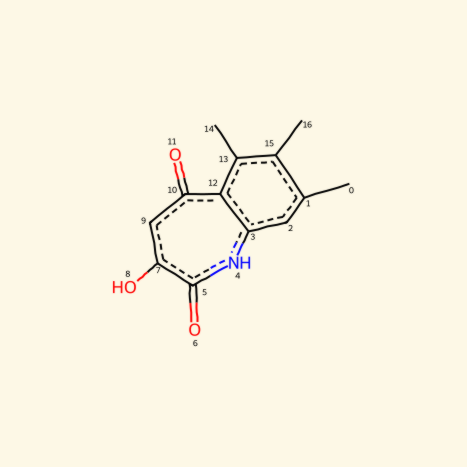 Cc1cc2[nH]c(=O)c(O)cc(=O)c2c(C)c1C